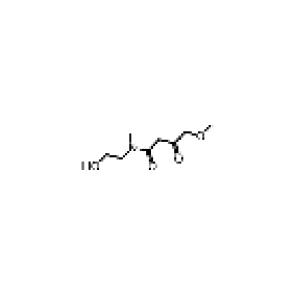 COCC(=O)CC(=O)NCCO